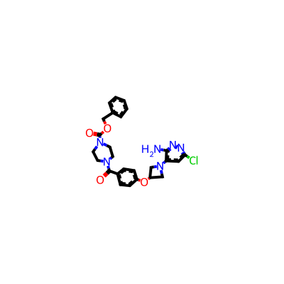 Nc1nnc(Cl)cc1N1CC(Oc2ccc(C(=O)N3CCN(C(=O)OCc4ccccc4)CC3)cc2)C1